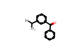 CCC(c1cccc(C(=O)c2ccccc2)c1)C(F)(F)F